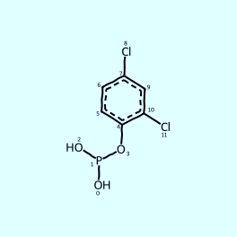 OP(O)Oc1ccc(Cl)cc1Cl